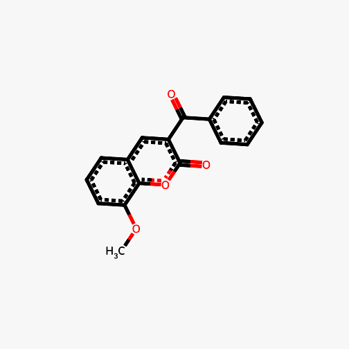 COc1cccc2cc(C(=O)c3ccccc3)c(=O)oc12